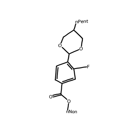 CCCCCCCCCOC(=O)c1ccc(C2OCC(CCCCC)CO2)c(F)c1